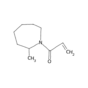 C=CC(=O)N1CCCCCC1C